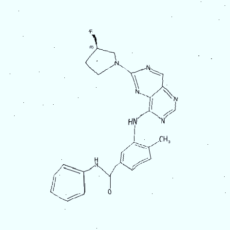 Cc1ccc(C(=O)Nc2ccccc2)cc1Nc1ncnc2cnc(N3CC[C@@H](F)C3)nc12